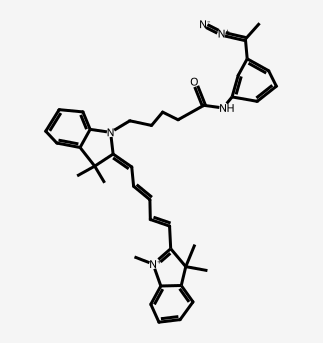 CC(=[N+]=[N-])c1cccc(NC(=O)CCCCN2/C(=C/C=C/C=C/C3=[N+](C)c4ccccc4C3(C)C)C(C)(C)c3ccccc32)c1